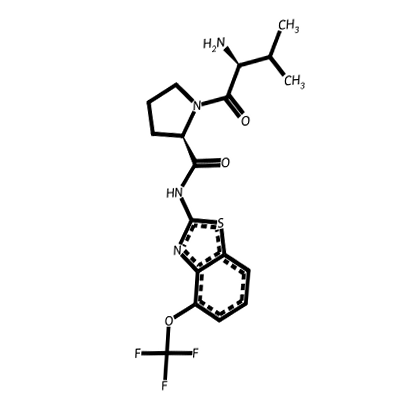 CC(C)[C@H](N)C(=O)N1CCC[C@@H]1C(=O)Nc1nc2c(OC(F)(F)F)cccc2s1